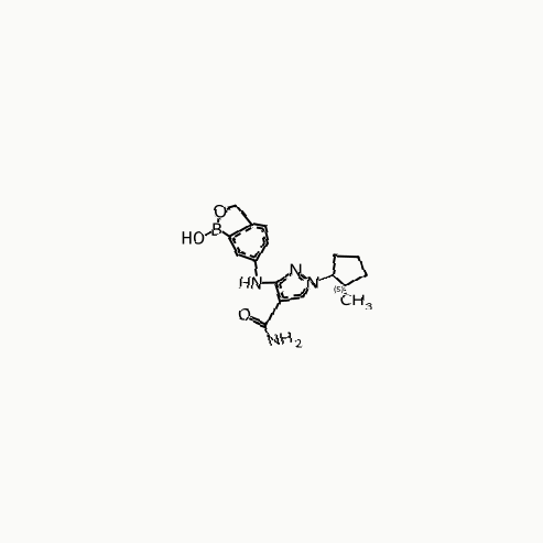 C[C@H]1CCCC1n1cc(C(N)=O)c(Nc2ccc3c(c2)B(O)OC3)n1